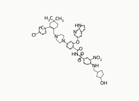 CC1(C)CCC(CN2CCN(c3ccc(C(=O)NS(=O)(=O)c4ccc(NCC5CCC(O)C5)c([N+](=O)[O-])c4)c(Oc4cnc5[nH]ccc5c4)c3)CC2)=C(c2ccc(Cl)cc2)C1